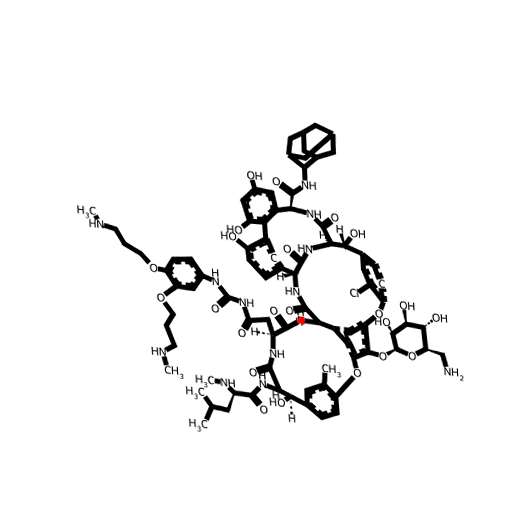 CNCCCOc1ccc(NC(=O)NC(=O)C[C@@H]2NC(=O)[C@H](NC(=O)[C@@H](CC(C)C)NC)[C@H](O)c3ccc(c(C)c3)Oc3cc4cc(c3O[C@@H]3O[C@H](CN)[C@@H](O)[C@H](O)[C@H]3O)Oc3ccc(cc3Cl)[C@@H](O)[C@@H]3NC(=O)[C@H](NC(=O)[C@@H]4NC2=O)c2ccc(O)c(c2)-c2c(O)cc(O)cc2[C@@H](C(=O)NC2C4CC5CC(C4)CC2C5)NC3=O)cc1OCCCNC